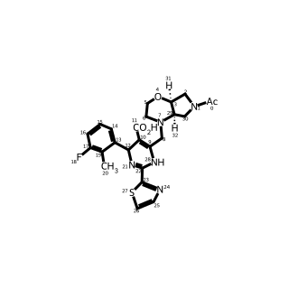 CC(=O)N1C[C@@H]2OCCN(CC3=C(C(=O)O)C(c4cccc(F)c4C)N=C(c4nccs4)N3)[C@@H]2C1